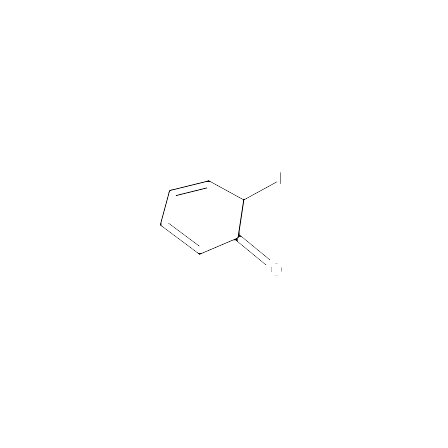 O=C1C=CC=CC1F